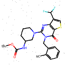 CC(C)(C)OC(=O)NC1CCCN(c2nc3c(C(F)F)csc3c(=O)n2Cc2ccccc2C#N)C1